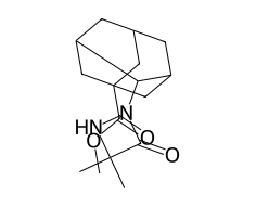 COC(=O)C12CC3CC(C1)C(N1NC(C)(C)C1=O)C(C3)C2